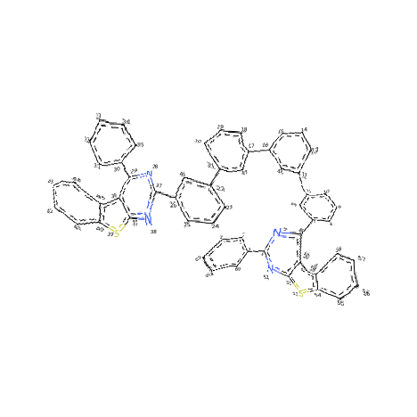 c1ccc(-c2nc(-c3cccc(-c4cccc(-c5cccc(-c6cccc(-c7nc(-c8ccccc8)c8c(n7)sc7ccccc78)c6)c5)c4)c3)c3c(n2)sc2ccccc23)cc1